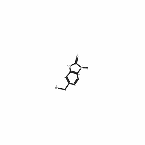 Cn1c(=O)oc2cc(CBr)ccc21